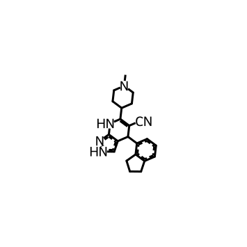 CN1CCC(C2=C(C#N)C(c3cccc4c3CCC4)c3c[nH]nc3N2)CC1